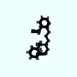 CCCCCCCCCCCC(CCCc1ccccc1OC)Nc1ccccc1